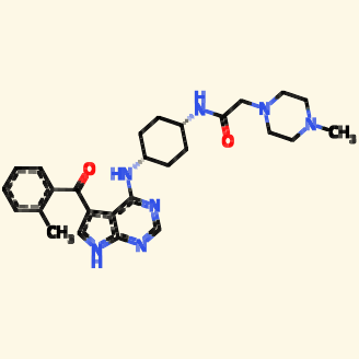 Cc1ccccc1C(=O)c1c[nH]c2ncnc(N[C@H]3CC[C@@H](NC(=O)CN4CCN(C)CC4)CC3)c12